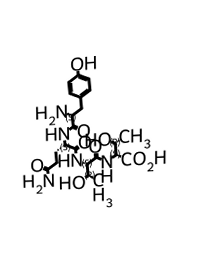 C[C@@H](O)[C@H](NC(=O)[C@@H](NC(=O)[C@H](CCC(N)=O)NC(=O)[C@@H](N)Cc1ccc(O)cc1)[C@@H](C)O)C(=O)O